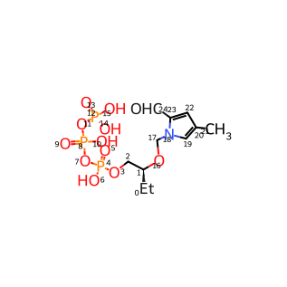 CC[C@@H](COP(=O)(O)OP(=O)(O)OP(=O)(O)O)OCn1cc(C)cc1C=O